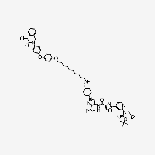 CN(CCCCCCCCCCOc1ccc(Oc2ccc(N(Cc3ccccc3)C(=O)CCl)cc2)cc1)C[C@H]1CC[C@H](n2cc(NC(=O)c3coc(-c4ccnc(N(CC5CC5)C(=O)OC(C)(C)C)c4)n3)c(C(F)F)n2)CC1